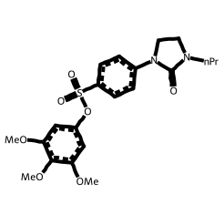 CCCN1CCN(c2ccc(S(=O)(=O)Oc3cc(OC)c(OC)c(OC)c3)cc2)C1=O